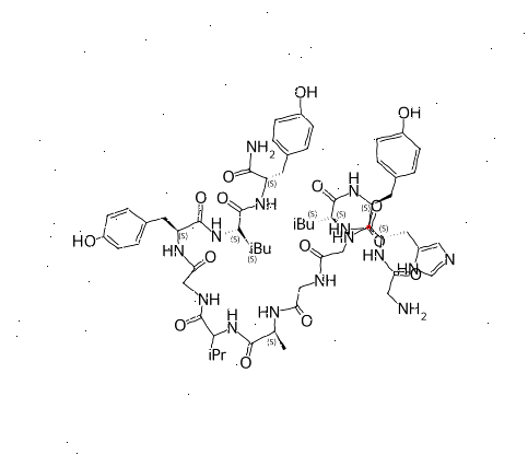 CC[C@H](C)[C@H](NC(=O)[C@H](Cc1ccc(O)cc1)NC(=O)CNC(=O)C(NC(=O)[C@H](C)NC(=O)CNC(=O)CNC(=O)[C@H](Cc1ccc(O)cc1)NC(=O)[C@@H](NC(=O)[C@H](Cc1cnc[nH]1)NC(=O)CN)[C@@H](C)CC)C(C)C)C(=O)N[C@@H](Cc1ccc(O)cc1)C(N)=O